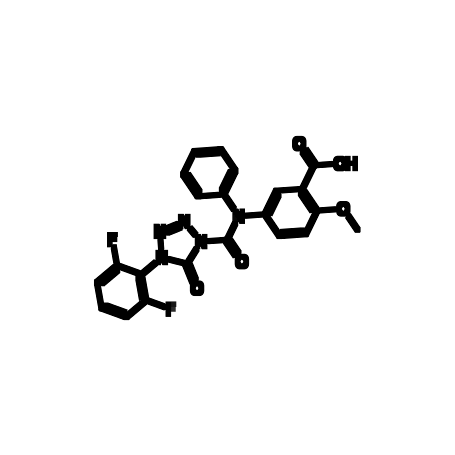 COc1ccc(N(C(=O)n2nnn(-c3c(F)cccc3F)c2=O)c2ccccc2)cc1C(=O)O